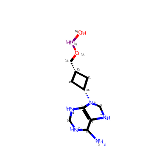 NC1NCNC2=C1NCN2[C@H]1C[C@@H](COPO)C1